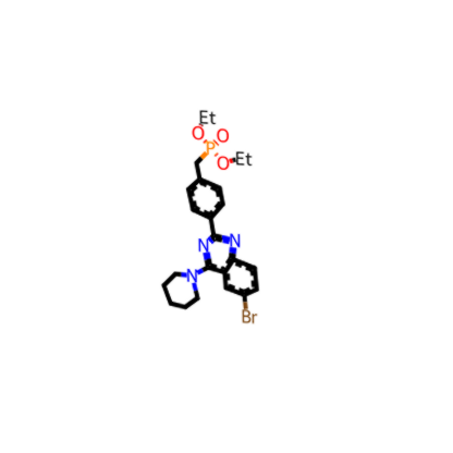 CCOP(=O)(Cc1ccc(-c2nc(N3CCCCC3)c3cc(Br)ccc3n2)cc1)OCC